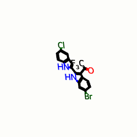 O=C(c1c(-c2cc3cc(Cl)ccc3[nH]2)[nH]c2cc(Br)ccc12)C(F)(F)F